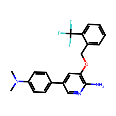 CN(C)c1ccc(-c2cnc(N)c(OCc3ccccc3C(F)(F)F)c2)cc1